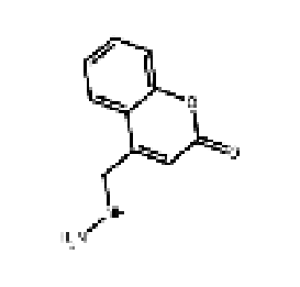 NNCc1cc(=O)oc2ccccc12